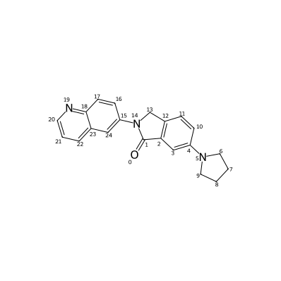 O=C1c2cc(N3CCCC3)ccc2CN1c1ccc2ncccc2c1